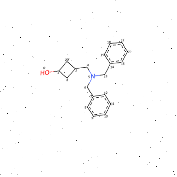 OC1CC(CN(Cc2ccccc2)Cc2ccccc2)C1